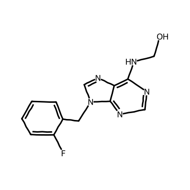 OCNc1ncnc2c1ncn2Cc1ccccc1F